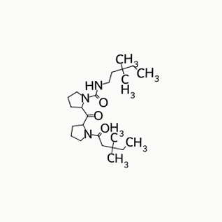 CCC(C)(C)CCNC(=O)N1CCCC1C(=O)C1CCCN1C(=O)CC(C)(C)CC